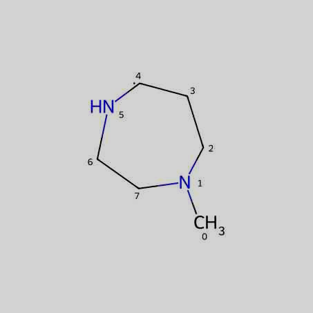 CN1CC[CH]NCC1